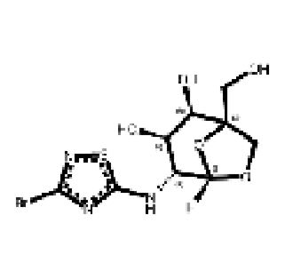 OC[C@@]12CO[C@@H](O1)[C@H](Nc1nc(Br)ns1)[C@@H](O)[C@H]2O